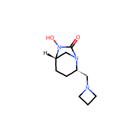 O=C1N(O)[C@H]2CC[C@@H](CN3CCC3)N1C2